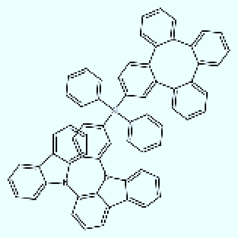 c1ccc([Si](c2ccccc2)(c2cccc(-n3c4ccccc4c4cccc(-n5c6ccccc6c6ccccc65)c43)c2)c2ccc3c(c2)-c2ccccc2-c2ccccc2-c2ccccc2-3)cc1